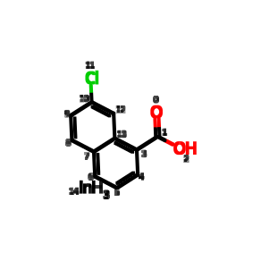 O=C(O)c1cccc2ccc(Cl)cc12.[InH3]